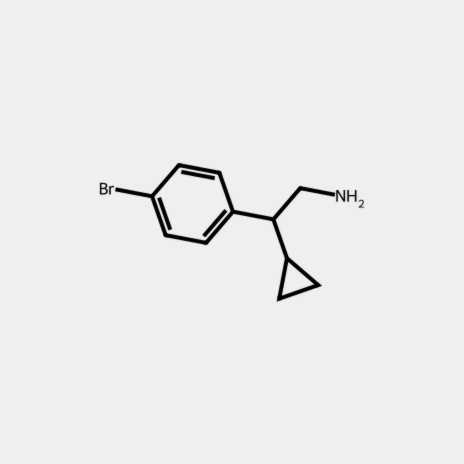 NCC(c1ccc(Br)cc1)C1CC1